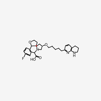 O=C(O)C(c1cc(F)ccc1C1CCCO1)N1CC[C@@H](OCCCCCc2ccc3c(n2)NCCC3)C1